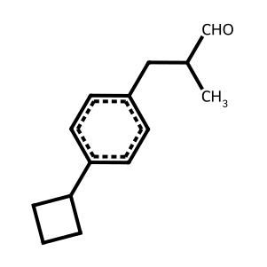 CC(C=O)Cc1ccc(C2CCC2)cc1